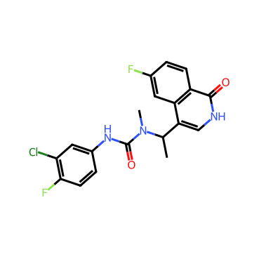 CC(c1c[nH]c(=O)c2ccc(F)cc12)N(C)C(=O)Nc1ccc(F)c(Cl)c1